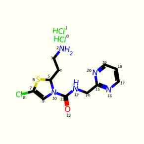 Cl.Cl.NCCC1SC(Cl)=CN1C(=O)NCc1ncccn1